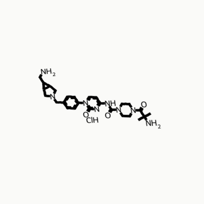 CC(C)(N)C(=O)N1CCN(C(=O)Nc2ccn(-c3ccc(CN4CC5C(CN)C5C4)cc3)c(=O)n2)CC1.Cl